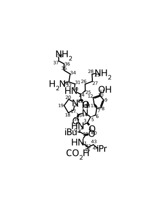 CC[C@H](C)[C@H](NC(=O)[C@H](Cc1ccc(O)cc1)NC(=O)[C@@H]1CCCN1C(=O)[C@H](CCCCN)NC[C@@H](N)CCCCN)C(=O)N[C@@H](CC(C)C)C(=O)O